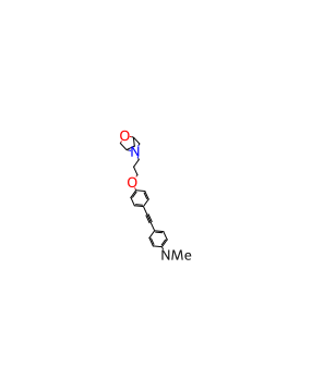 CNc1ccc(C#Cc2ccc(OCCCN3CC4CC3CO4)cc2)cc1